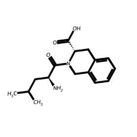 CC(C)C[C@H](N)C(=O)N1Cc2ccccc2C[C@H]1C(=O)O